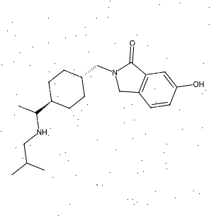 CC(C)CNC(C)[C@H]1CC[C@H](CN2Cc3ccc(O)cc3C2=O)CC1